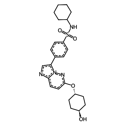 O=S(=O)(NC1CCCCC1)c1ccc(-c2cnc3ccc(O[C@H]4CC[C@H](O)CC4)nn23)cc1